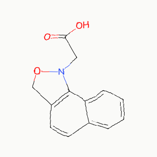 O=C(O)CN1OCc2ccc3ccccc3c21